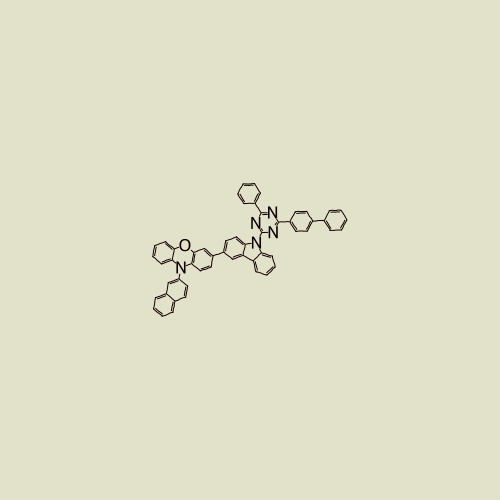 c1ccc(-c2ccc(-c3nc(-c4ccccc4)nc(-n4c5ccccc5c5cc(-c6ccc7c(c6)Oc6ccccc6N7c6ccc7ccccc7c6)ccc54)n3)cc2)cc1